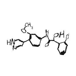 COc1cc(NC(=O)C(O)c2ccccc2Cl)ccc1-c1cn[nH]c1